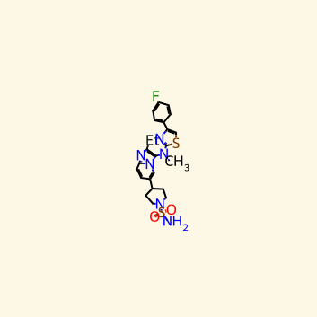 CCc1nc2ccc(C3CCN(S(N)(=O)=O)CC3)cn2c1N(C)c1nc(-c2ccc(F)cc2)cs1